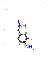 Nc1ccc(CNI)cc1